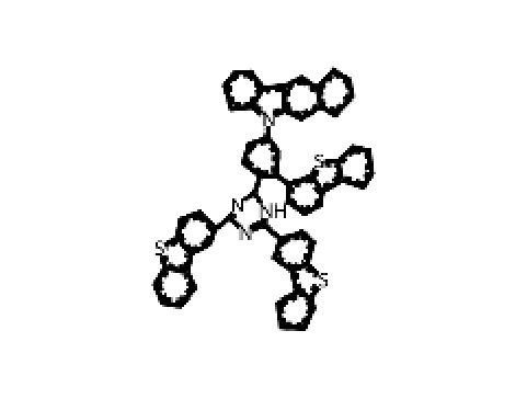 c1ccc2cc3c(cc2c1)c1ccccc1n3-c1ccc(C2N=C(c3ccc4sc5ccccc5c4c3)N=C(c3ccc4sc5ccccc5c4c3)N2)c(-c2cccc3c2sc2ccccc23)c1